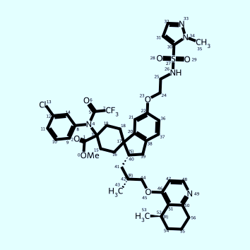 COC(=O)C1(N(C(=O)C(F)(F)F)c2cccc(Cl)c2)CCC2(CC1)c1cc(OCCNS(=O)(=O)c3ccnn3C)ccc1C[C@@H]2C[C@@H](C)COc1ccnc2c1[C@H](C)CCC2